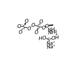 C=O.N.N.O=S(=O)([O-])OOS(=O)(=O)[O-].OSO.[Na+].[Na+]